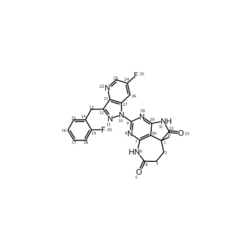 CC12CCC(=O)Nc3nc(-n4nc(Cc5ccccc5F)c5ncc(F)cc54)nc(c31)NC2=O